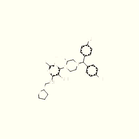 C[C@@H]1CN(c2nc(Cl)nc(NC[C@H]3CCCO3)c2N)[C@@H](C)CN1C(c1ccc(Cl)cc1)c1ccc(Cl)cc1